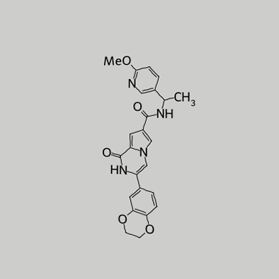 COc1ccc(C(C)NC(=O)c2cc3c(=O)[nH]c(-c4ccc5c(c4)OCCO5)cn3c2)cn1